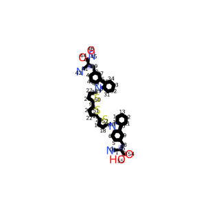 N#C/C(=C\c1ccc2c(c1)c1ccccc1n2-c1ccc(-c2ccc(-c3ccc(-n4c5ccccc5c5cc(/C=C(\C#N)C(=O)N=O)ccc54)s3)s2)s1)C(=O)O